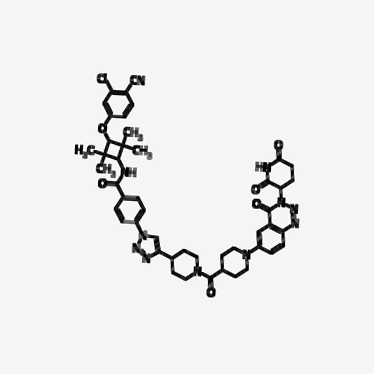 CC1(C)C(NC(=O)c2ccc(-n3cc(C4CCN(C(=O)C5CCN(c6ccc7nnn(C8CCC(=O)NC8=O)c(=O)c7c6)CC5)CC4)nn3)cc2)C(C)(C)C1Oc1ccc(C#N)c(Cl)c1